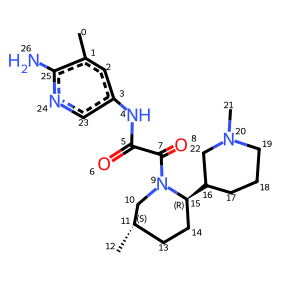 Cc1cc(NC(=O)C(=O)N2C[C@@H](C)CC[C@@H]2C2CCCN(C)C2)cnc1N